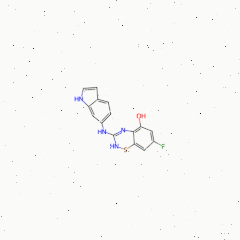 Oc1cc(F)cc2c1N=C(Nc1ccc3cc[nH]c3c1)NS2